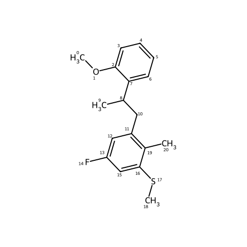 COc1ccccc1C(C)Cc1cc(F)cc(SC)c1C